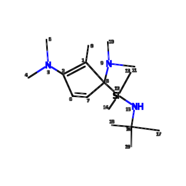 CC1=C(N(C)C)C=CC1(N(C)C)[Si](C)(C)NC(C)(C)C